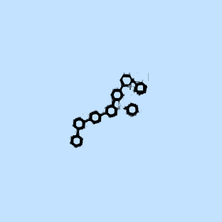 CC1(c2ccccc2)C=CC=C(c2ccc3c4cc(-c5ccc(-c6cccc(-c7ccccc7)c6)cc5)ccc4n(-c4ccccc4)c3c2)C1S